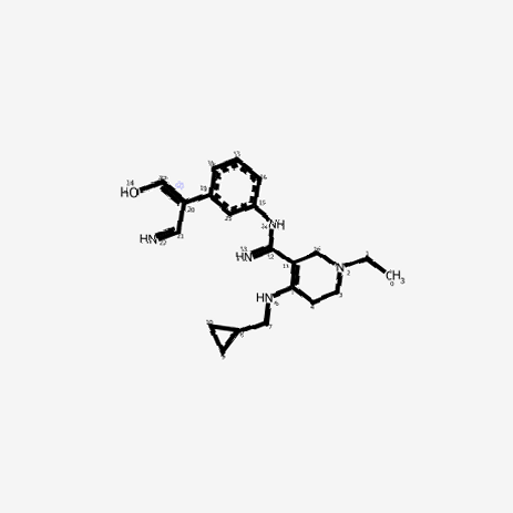 CCN1CCC(NCC2CC2)=C(C(=N)Nc2cccc(/C(C=N)=C/O)c2)C1